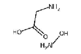 NCC(=O)O.[OH][AlH2]